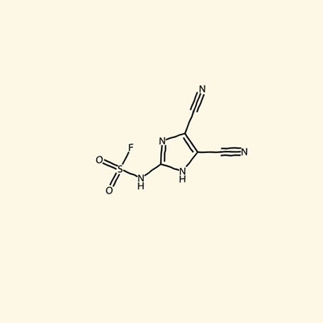 N#Cc1nc(NS(=O)(=O)F)[nH]c1C#N